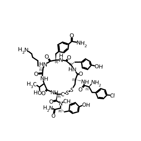 CC(O)C1NC(=O)[C@H](CCCCN)NC(=O)[C@@H](Cc2ccc(C(N)=O)cc2)NC(=O)[C@H](Cc2ccc(O)cc2)NC(=O)[C@H](NC(=O)[C@@H](N)Cc2ccc(Cl)cc2)CSSC[C@@H](C(=O)N(C)[C@H](Cc2ccc(O)cc2)C(N)=O)NC1=O